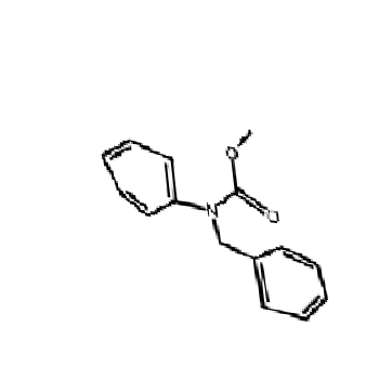 COC(=O)N(Cc1ccccc1)c1ccccc1